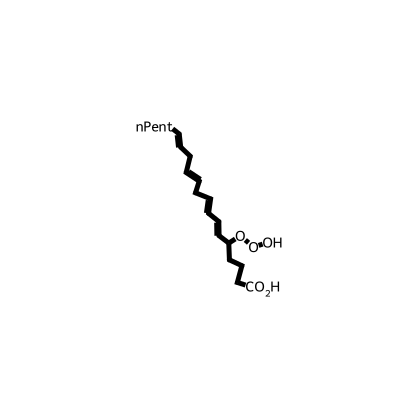 CCCCC/C=C/C/C=C/C/C=C/C=C/C(CCCC(=O)O)OOO